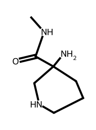 CNC(=O)C1(N)CCCNC1